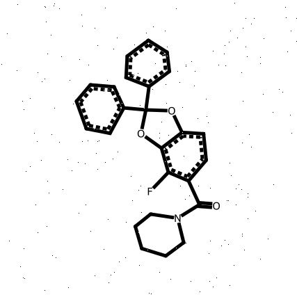 O=C(c1ccc2c(c1F)OC(c1ccccc1)(c1ccccc1)O2)N1CCCCC1